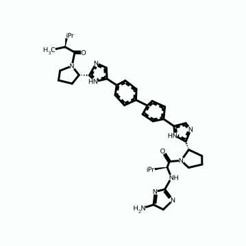 CC(C)[C@H](C)C(=O)N1CCC[C@H]1c1ncc(-c2ccc(-c3ccc(-c4cnc([C@@H]5CCCN5C(=O)[C@@H](NC5=NCC(N)=N5)C(C)C)[nH]4)cc3)cc2)[nH]1